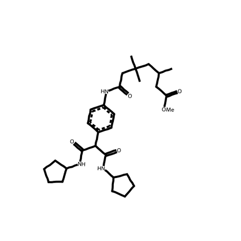 COC(=O)CC(C)CC(C)(C)CC(=O)Nc1ccc(C(C(=O)NC2CCCC2)C(=O)NC2CCCC2)cc1